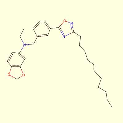 CCCCCCCCCCCc1noc(-c2cccc(C[N+](CC)c3ccc4c(c3)OCO4)c2)n1